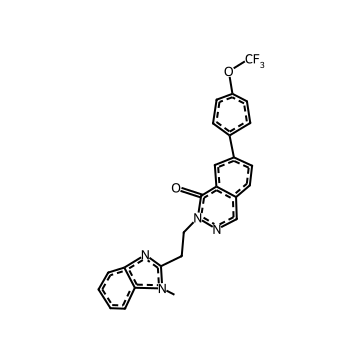 Cn1c(CCn2ncc3ccc(-c4ccc(OC(F)(F)F)cc4)cc3c2=O)nc2ccccc21